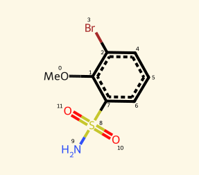 COc1c(Br)cccc1S(N)(=O)=O